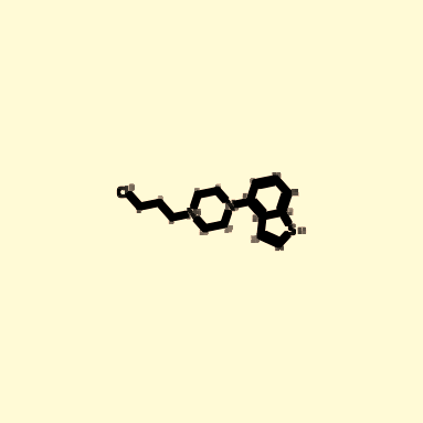 ClCCCN1CCN(c2cccc3sccc23)CC1